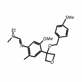 CCN(C)C=Nc1cc(OC)c(C2(OCc3ccc(SC)cc3)COC2)cc1C